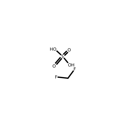 FCF.O=S(=O)(O)O